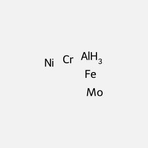 [AlH3].[Cr].[Fe].[Mo].[Ni]